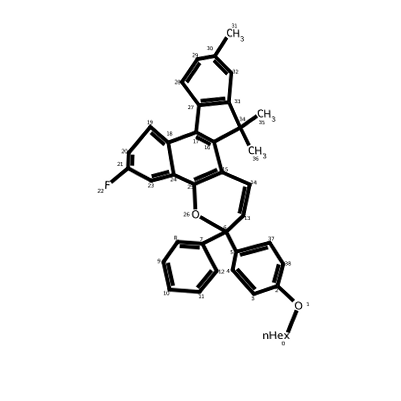 CCCCCCOc1ccc(C2(c3ccccc3)C=Cc3c4c(c5ccc(F)cc5c3O2)-c2ccc(C)cc2C4(C)C)cc1